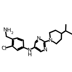 CC(C)C1CCN(c2ncc(Nc3ccc(CN)c(Cl)c3)cn2)CC1